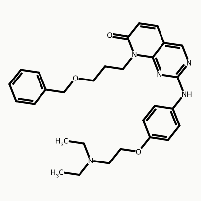 CCN(CC)CCOc1ccc(Nc2ncc3ccc(=O)n(CCCOCc4ccccc4)c3n2)cc1